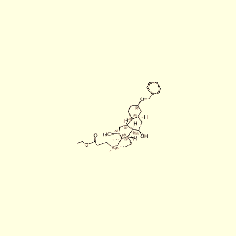 CCOC(=O)CC[C@@H](C)[C@H]1CC[C@H]2[C@@H]3[C@H](O)C[C@@H]4C[C@H](OCc5ccccc5)CC[C@]4(C)[C@H]3C[C@H](O)[C@]12C